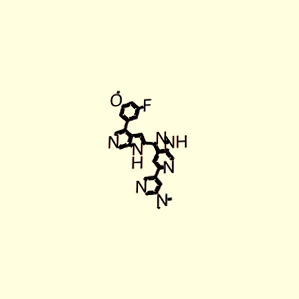 COc1cc(F)cc(-c2cncc3[nH]c(-c4n[nH]c5cnc(-c6cncc(N(C)C)c6)cc45)cc23)c1